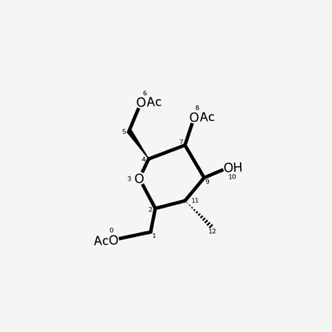 CC(=O)OCC1O[C@@H](COC(C)=O)C(OC(C)=O)C(O)[C@@H]1C